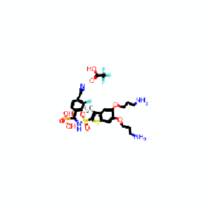 Cc1c(S(=O)(=O)NC(c2ccc(C#N)c(F)c2)P(=O)(O)O)sc2cc(OCCCN)c(OCCCN)cc12.O=C(O)C(F)(F)F